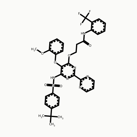 COc1ccccc1Oc1c(NS(=O)(=O)c2ccc(C(C)(C)C)cc2)nc(-c2ncccn2)nc1OCCC(=O)Nc1ccccc1C(F)(F)F